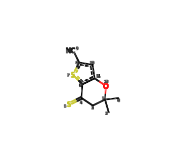 CC1(C)CC(=S)c2sc(C#N)cc2O1